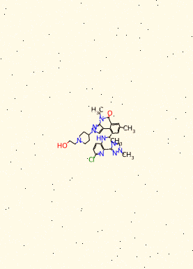 CCn1c(=O)c2cc(C)cc(C(C)Nc3ccc(Cl)nc3-c3ncn(C)n3)c2c2cn(C3CCN(CCO)CC3)nc21